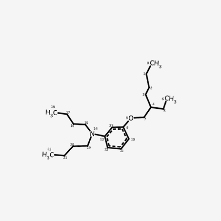 CCCCC(CC)COc1cccc(N(CCCC)CCCC)c1